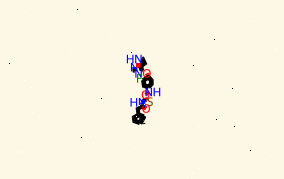 O=C(Cc1ccccc1)NC(=S)ONc1ccc(Oc2ncnc3[nH]ccc23)c(F)c1